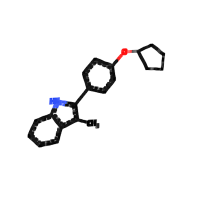 Cc1c(-c2ccc(OC3CCCC3)cc2)[nH]c2ccccc12